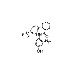 O=Nc1cc(O)ccc1NC(=O)c1ccccc1-c1ccc(C(F)(F)F)cc1